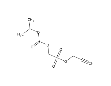 C#CCOS(=O)(=O)COC(=O)OC(C)C